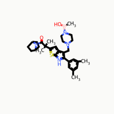 CB(O)N1CCN(Cc2c(-c3cc(C)cc(C)c3)[nH]c3sc(C(C)(C)C(=O)N4C5CCC4CC5)cc23)CC1